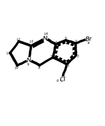 Clc1cc(Br)cc2c1CN1CCCC1=N2